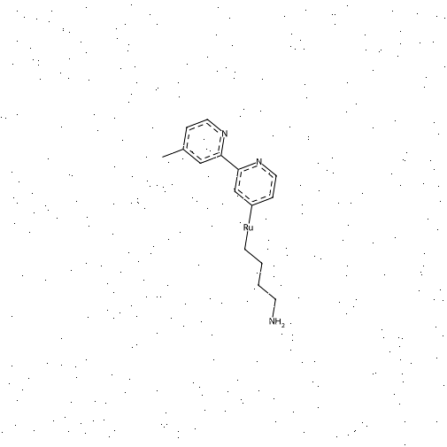 Cc1ccnc(-c2c[c]([Ru][CH2]CCCN)ccn2)c1